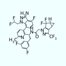 Cc1ccc(-c2ccc(F)c3c(N)nn(CC(F)F)c23)c([C@H](Cc2cc(F)cc(F)c2)NC(=O)Cn2nc(C(F)(F)F)c3c2C(F)(F)[C@@H]2CC32)n1